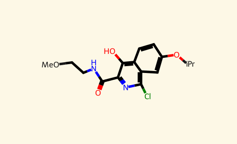 COCCNC(=O)c1nc(Cl)c2cc(OC(C)C)ccc2c1O